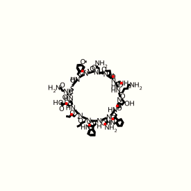 CCCC[C@H]1C(=O)N(C)[C@@H](CCCC)C(=O)N[C@@H](CCC(=O)O)C(=O)N[C@H](C(=O)NCC(N)=O)CSCC(=O)N[C@@H](Cc2ccc(OC)cc2)C(=O)N(C)[C@@H](C)C(=O)N[C@@H](CC(N)=O)C(=O)N2CCC[C@H]2C(=O)N[C@@H](CN)C(=O)N[C@@H](CCCCN)C(=O)N2C[C@H](O)C[C@H]2C(=O)N[C@@H](Cc2c[nH]c3ccccc23)C(=O)N[C@@H](CCN)C(=O)N[C@@H](Cc2c[nH]c3ccccc23)C(=O)N1C